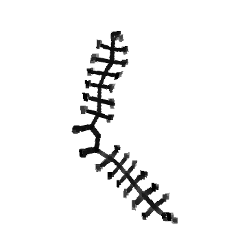 O=C(CC(=O)C(F)(F)C(F)(F)C(F)(F)C(F)(F)C(F)(F)C(F)(F)C(F)(F)F)C(F)(F)C(F)(F)C(F)(F)C(F)(F)C(F)(F)C(F)(F)C(F)(F)F